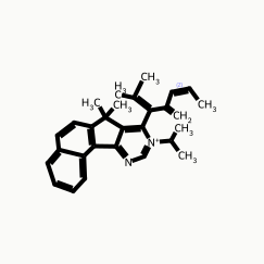 C=C(/C=C\C)C(=C(C)C)c1c2c(nc[n+]1C(C)C)-c1c(ccc3ccccc13)C2(C)C